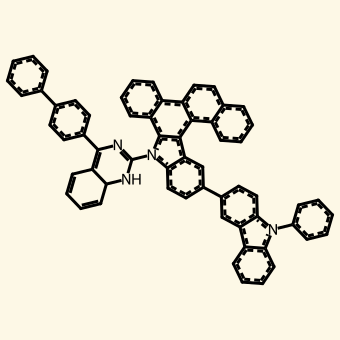 C1=CC2=C(c3ccc(-c4ccccc4)cc3)N=C(n3c4ccc(-c5ccc6c(c5)c5ccccc5n6-c5ccccc5)cc4c4c5c6ccccc6ccc5c5ccccc5c43)NC2C=C1